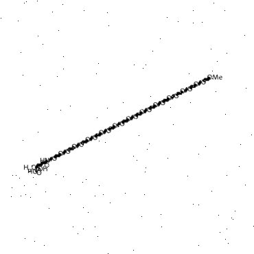 C=C(CCCC(=O)NCCOCCOCCOCCOCCOCCOCCOCCOCCOCCOCCOCCOCCOCCOCCOCCOCCOCCOCCOCCOCCOCCOCCOCCOC)P(=O)(O)O